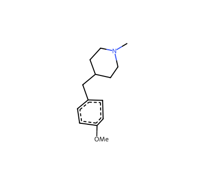 COc1ccc(CC2CCN(C)CC2)cc1